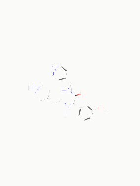 CCOc1cccc(C(NCCC2CCNCC2)C(=O)NCc2ccncc2)c1